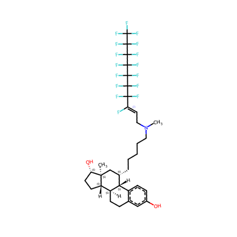 CN(C/C=C(\F)C(F)(F)C(F)(F)C(F)(F)C(F)(F)C(F)(F)C(F)(F)C(F)(F)F)CCCCC[C@H]1C[C@]2(C)[C@@H](O)CC[C@H]2[C@@H]2CCc3cc(O)ccc3[C@@H]12